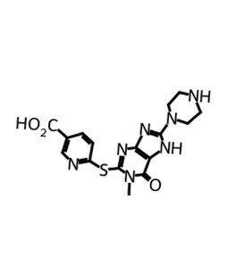 Cn1c(Sc2ccc(C(=O)O)cn2)nc2nc(N3CCNCC3)[nH]c2c1=O